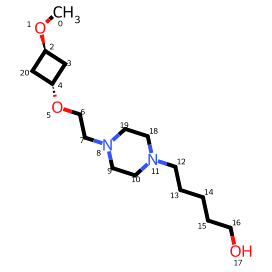 CO[C@H]1C[C@H](OCCN2CCN(CCCCCO)CC2)C1